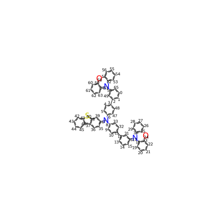 c1cc(-c2ccc(N(c3ccc(-c4cccc(N5c6ccccc6Oc6ccccc65)c4)cc3)c3ccc4c(c3)sc3ccccc34)cc2)cc(N2c3ccccc3Oc3ccccc32)c1